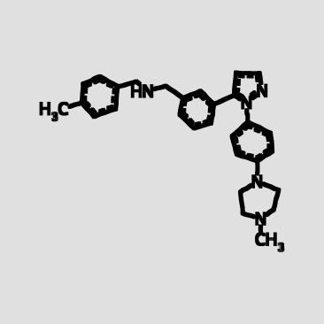 Cc1ccc(CNCc2cccc(-c3ccnn3-c3ccc(N4CCN(C)CC4)cc3)c2)cc1